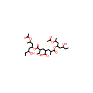 CCC(O)CC(CC(C)OC(C)=O)OC(=O)C(C)CC(CC(CC)C(=O)OC(CC(O)CC)CC(C)OC(C)=O)C(=O)O